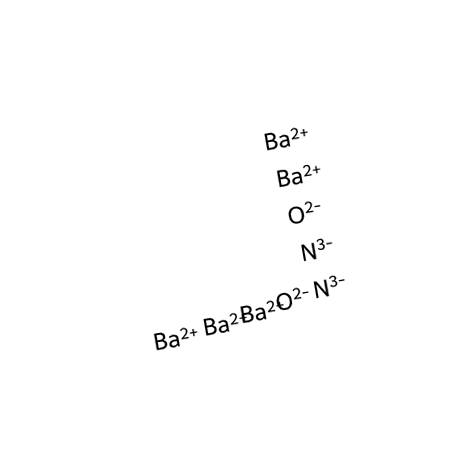 [Ba+2].[Ba+2].[Ba+2].[Ba+2].[Ba+2].[N-3].[N-3].[O-2].[O-2]